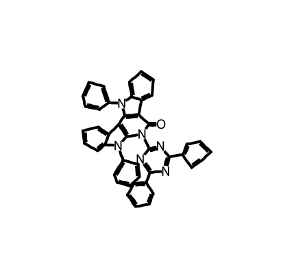 O=c1c2c3ccccc3n(-c3ccccc3)c2c2c3ccccc3n(-c3ccccc3)c2n1-c1nc(-c2ccccc2)nc(-c2ccccc2)n1